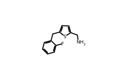 NCc1ccc(Cc2ccccc2F)s1